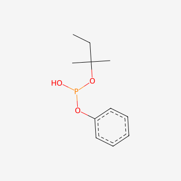 CCC(C)(C)OP(O)Oc1ccccc1